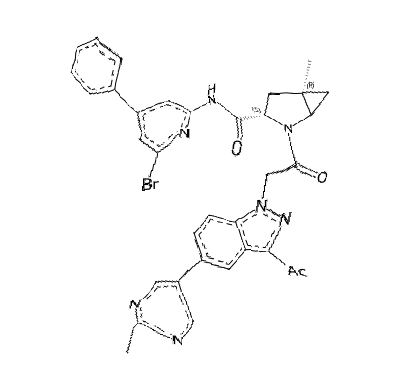 CC(=O)c1nn(CC(=O)N2C3C[C@]3(C)C[C@H]2C(=O)Nc2cc(-c3ccccc3)cc(Br)n2)c2ccc(-c3cnc(C)nc3)cc12